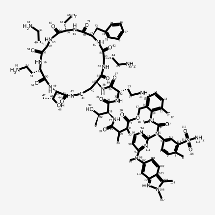 Cc1ccc(N(C(=O)N(C)c2c(F)cccc2COC(=O)C(C)C(C)C(=O)N[C@H](C(=O)N[C@@H](CCN)C(=O)N[C@H]2CCNC(=O)[C@H]([C@@H](C)O)NC(=O)[C@H](CCN)NC(=O)[C@H](CCN)NC(=O)[C@H](CC(C)C)NC(=O)[C@@H](Cc3ccccc3)NC(=O)[C@H](CCN)NC2=O)[C@@H](C)O)c2nccc(N(C)c3ccc4c(C)n(C)nc4c3)n2)cc1S(N)(=O)=O